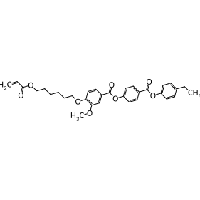 C=CC(=O)OCCCCCCOc1ccc(C(=O)Oc2ccc(C(=O)Oc3ccc(CC)cc3)cc2)cc1OC